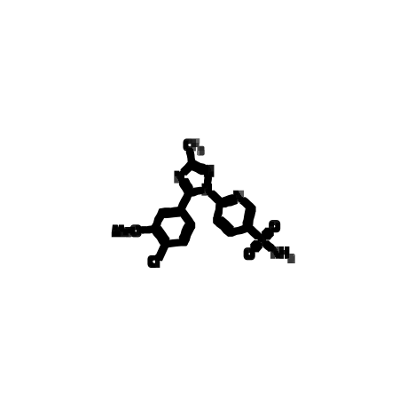 COc1cc(-c2nc(C(F)(F)F)nn2-c2ccc(S(N)(=O)=O)cn2)ccc1Cl